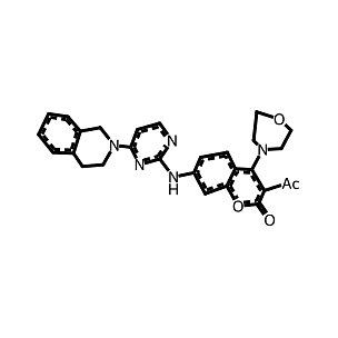 CC(=O)c1c(N2CCOCC2)c2ccc(Nc3nccc(N4CCc5ccccc5C4)n3)cc2oc1=O